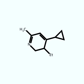 CCC1CN=C(C)C=C1C1CC1